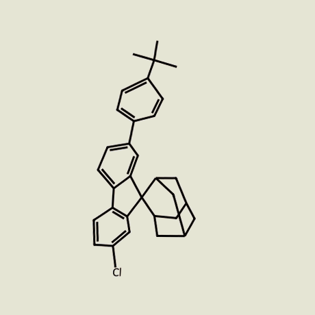 CC(C)(C)c1ccc(-c2ccc3c(c2)C2(c4cc(Cl)ccc4-3)C3CC4CC(C3)CC2C4)cc1